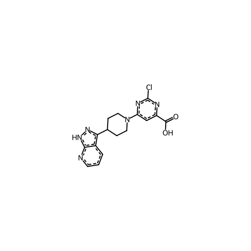 O=C(O)c1cc(N2CCC(c3n[nH]c4ncccc34)CC2)nc(Cl)n1